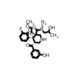 COCC[C@@]1(C(=O)N(C)CC(C)O)CNC[C@H](C(=O)c2cccc(O)c2)[C@@H]1c1cccc(F)c1C